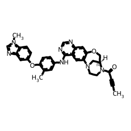 CC#CC(=O)N1CCN2C[C@H]1COc1cc3ncnc(Nc4ccc(Oc5ccc6c(c5)ncn6C)c(C)c4)c3cc12